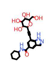 O=C(NC1CCCCC1)c1cc(C#CC2OC(CO)[C@@H](O)C(O)C2O)c2[nH]ncc2c1